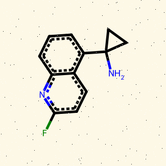 NC1(c2cccc3nc(F)ccc23)CC1